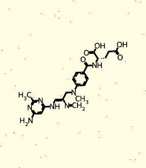 C=N/C(=C\Nc1cc(N)nc(C)n1)CN(C)c1ccc(C(=O)N[C@@H](CCC(=O)O)C(=O)O)cc1